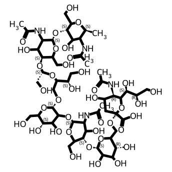 CC(=O)NC1C(O)[C@H](O[C@@H](CO)OC(CO[C@H]2OC(CO)[C@@H](O)C(O)C2O[C@@H]2OC(CO)[C@@H](O[C@@H]3OC(CO[C@]4(C(=O)O)CC(O)[C@@H](NC(C)=O)C([C@@H](O)[C@H](O)CO)O4)[C@H](O)C(O)C3O)C(O)C2NC(C)=O)[C@@H](O)CO)C(CO)O[C@H]1O[C@@H]1C(CO)O[C@@H](C)C(NC(C)=O)C1O